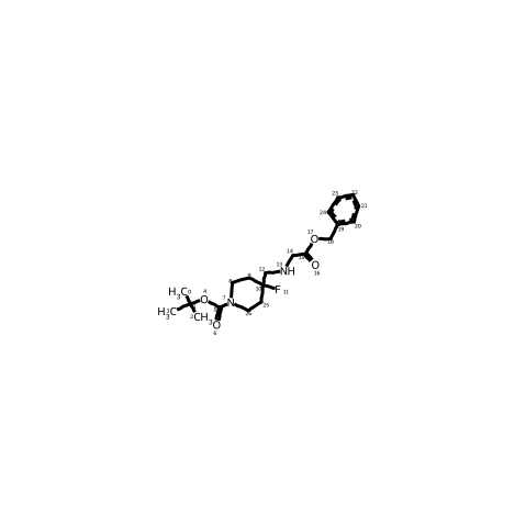 CC(C)(C)OC(=O)N1CCC(F)(CNCC(=O)OCc2ccccc2)CC1